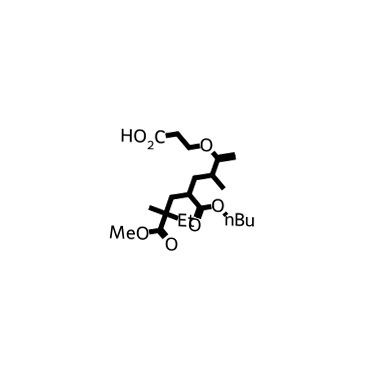 C=C(OCCC(=O)O)C(C)CC(CC(C)(CC)C(=O)OC)C(=O)OCCCC